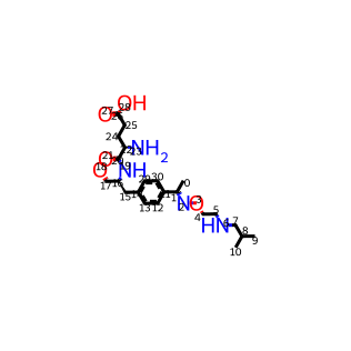 C/C(=N\OCCNCC(C)C)c1ccc(C[C@@H](C=O)NC(=O)[C@H](N)CCC(=O)O)cc1